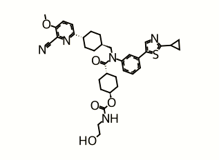 COc1ccc([C@H]2CC[C@H](CN(c3cccc(-c4cnc(C5CC5)s4)c3)C(=O)[C@H]3CC[C@H](OC(=O)NCCO)CC3)CC2)nc1C#N